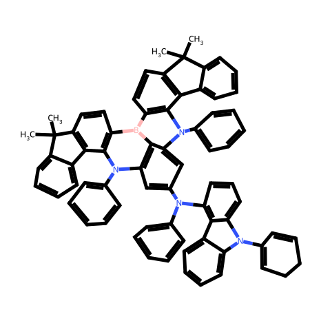 CC1(C)c2ccccc2-c2c1ccc1c2N(c2ccccc2)c2cc(N(c3ccccc3)c3cccc4c3c3ccccc3n4C3=CCCC=C3)cc3c2B1c1ccc2c(c1N3c1ccccc1)-c1ccccc1C2(C)C